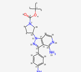 CC(C)(C)OC(=O)N1CCC(n2nc(-c3ccc(N)cc3)c3c(N)nccc32)C1